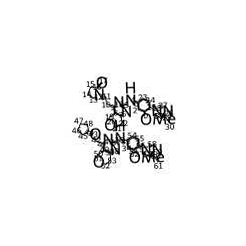 COc1cc(Nc2nc3c(c(CCN4CCCC4=O)n2)COCC3)ccc1-n1cnc(C)c1.COc1cc(Nc2nc3c(c(COC4CCCC4)n2)COCC3)ccc1-n1cnc(C)c1